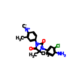 [C-]#[N+]c1ccc(N2C(=O)N(c3ccc(N)c(Cl)c3)C(C)(C)C2=O)cc1C